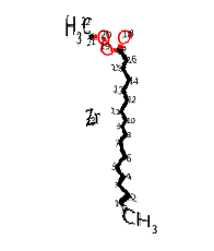 CCCCCCCCCCCCCCCCCC(=O)OOCC.[Zr]